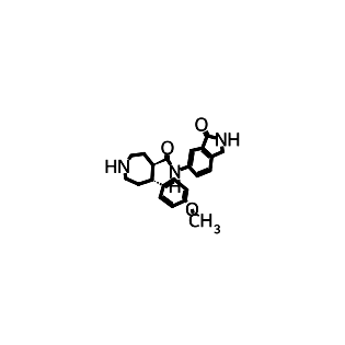 COc1ccc([C@@H]2CCNCC[C@H]2C(=O)Nc2ccc3c(c2)C(=O)NC3)cc1